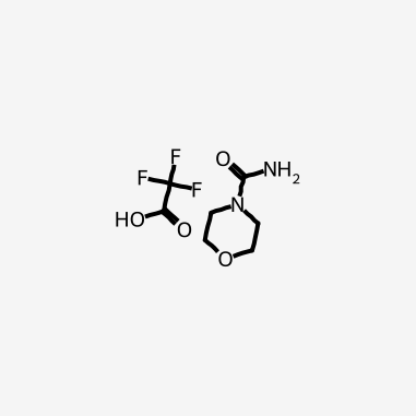 NC(=O)N1CCOCC1.O=C(O)C(F)(F)F